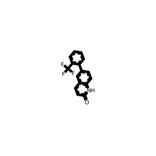 O=c1ccc2cc(-c3ccccc3C(F)(F)F)ccc2[nH]1